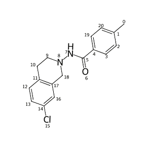 Cc1ccc(C(=O)NN2CCc3ccc(Cl)cc3C2)cc1